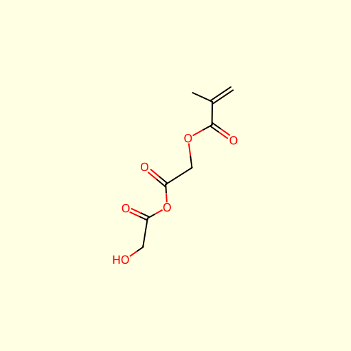 C=C(C)C(=O)OCC(=O)OC(=O)CO